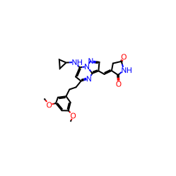 COc1cc(CCc2cc(NC3CC3)n3ncc(/C=C4\CC(=O)NC4=O)c3n2)cc(OC)c1